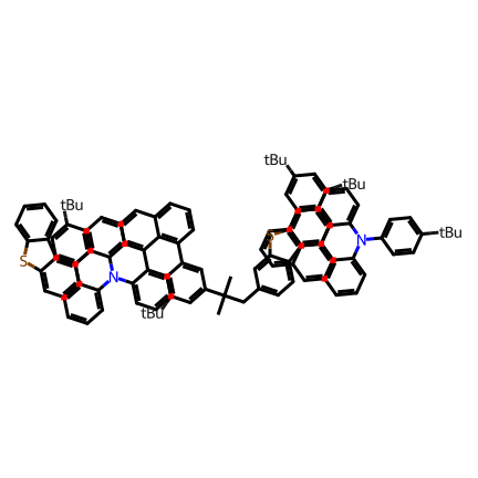 CC(C)(C)c1ccc(-c2ccccc2N(c2ccccc2-c2cccc3cccc(-c4cc(C(C)(C)C)cc(C(C)(C)Cc5ccc6c(c5)sc5cccc(-c7ccccc7N(c7ccc(C(C)(C)C)cc7)c7ccccc7-c7cccc8cccc(-c9cc(C(C)(C)C)cc(C(C)(C)C)c9)c78)c56)c4)c23)c2ccccc2-c2cccc3sc4ccccc4c23)cc1